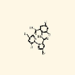 O=C(O)c1cc(Cl)cc(Cl)c1NC(=O)c1cc(Br)nn1-c1ncc(Cl)cc1Cl